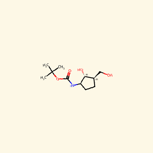 CC(C)(C)OC(=O)NC1CC[C@H](CO)[C@H]1O